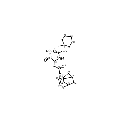 CC1(OC(=O)NC(CC(=O)OC23CC4CC(CC(C4)C2)C3)C(=O)O)CCCCC1